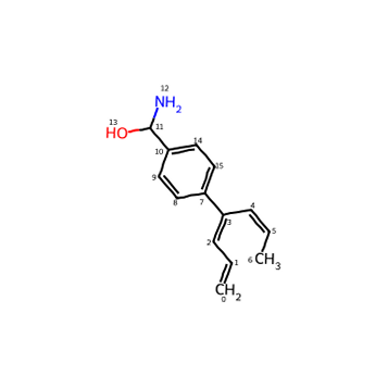 C=C/C=C(\C=C/C)c1ccc(C(N)O)cc1